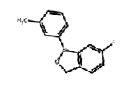 Cc1cccc(B2OCc3ccc(F)cc32)c1